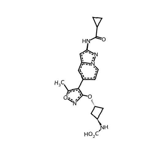 Cc1onc(O[C@H]2C[C@H](NC(=O)O)C2)c1-c1ccn2nc(NC(=O)C3CC3)cc2c1